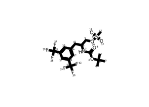 CC(C)(C)OC(=O)NC(COS(C)(=O)=O)Cc1cc(C(F)(F)F)cc(C(F)(F)F)c1